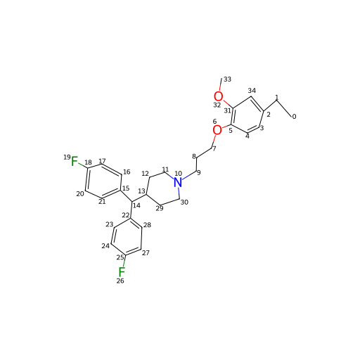 CCc1ccc(OCCCN2CCC(C(c3ccc(F)cc3)c3ccc(F)cc3)CC2)c(OC)c1